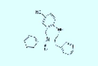 N#Cc1ccc2c(c1)CN(C(=O)c1ccccc1)C(Cc1ccccc1)CN2